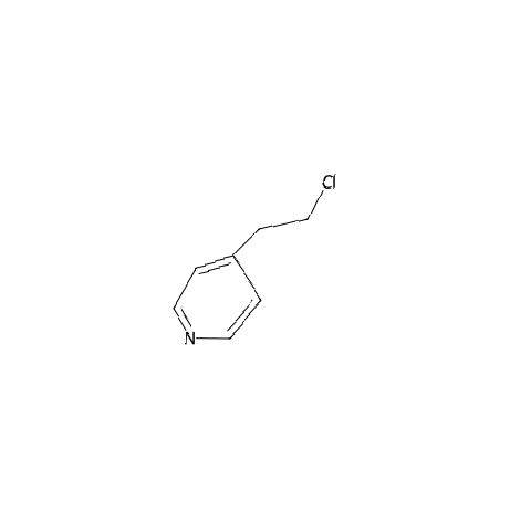 ClCCc1ccncc1